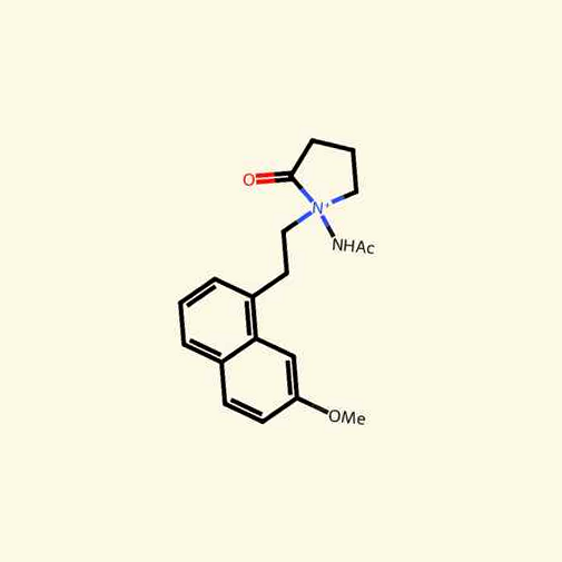 COc1ccc2cccc(CC[N+]3(NC(C)=O)CCCC3=O)c2c1